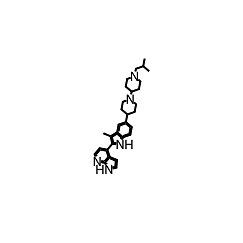 Cc1c(-c2ccnc3[nH]ccc23)[nH]c2ccc(C3CCN(C4CCN(CC(C)C)CC4)CC3)cc12